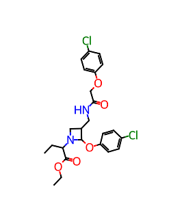 CCOC(=O)C(CC)N1CC(CNC(=O)COc2ccc(Cl)cc2)C1Oc1ccc(Cl)cc1